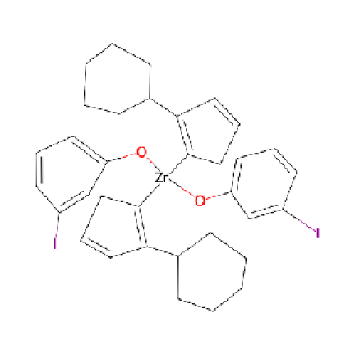 Ic1cccc([O][Zr]([O]c2cccc(I)c2)([C]2=C(C3CCCCC3)C=CC2)[C]2=C(C3CCCCC3)C=CC2)c1